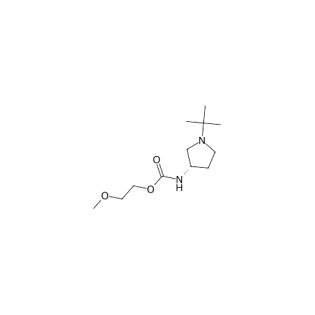 COCCOC(=O)N[C@H]1CCN(C(C)(C)C)C1